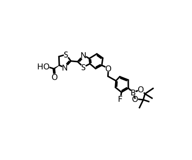 CC1(C)OB(c2ccc(COc3ccc4nc(C5=N[C@@H](C(=O)O)CS5)sc4c3)cc2F)OC1(C)C